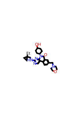 CCC1(CNc2ncc3c4ccc(CN5CCOCC5)cc4c(=O)n(C4CCC(O)CC4)c3n2)CC1